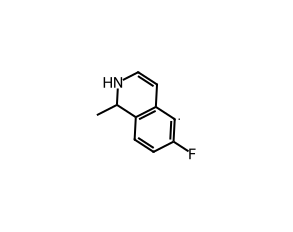 CC1NC=Cc2[c]c(F)ccc21